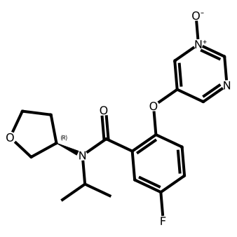 CC(C)N(C(=O)c1cc(F)ccc1Oc1cnc[n+]([O-])c1)[C@@H]1CCOC1